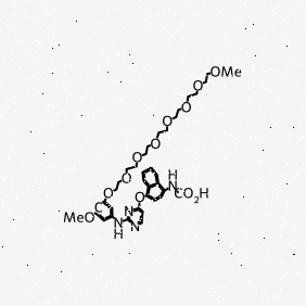 COCCOCCOCCOCCOCCOCCOCCOc1cc(Nc2nccc(Oc3ccc(NC(=O)O)c4ccccc34)n2)cc(OC)c1